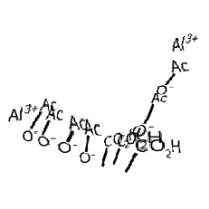 CC(=O)O.CC(=O)O.CC(=O)O.CC(=O)[O-].CC(=O)[O-].CC(=O)[O-].CC(=O)[O-].CC(=O)[O-].CC(=O)[O-].[Al+3].[Al+3]